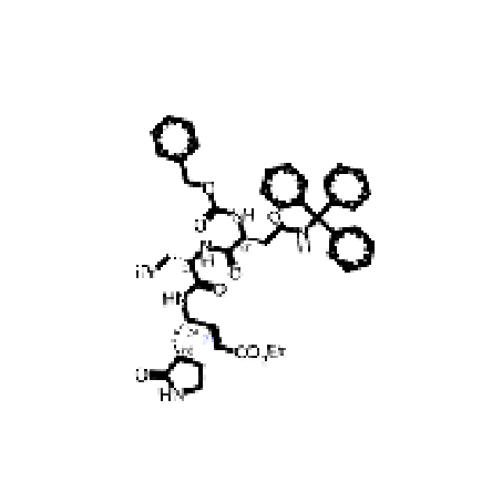 CCOC(=O)/C=C/[C@H](C[C@@H]1CCNC1=O)NC(=O)[C@H](CC(C)C)NC(=O)[C@H](CC(=O)NC(c1ccccc1)(c1ccccc1)c1ccccc1)NC(=O)OCc1ccccc1